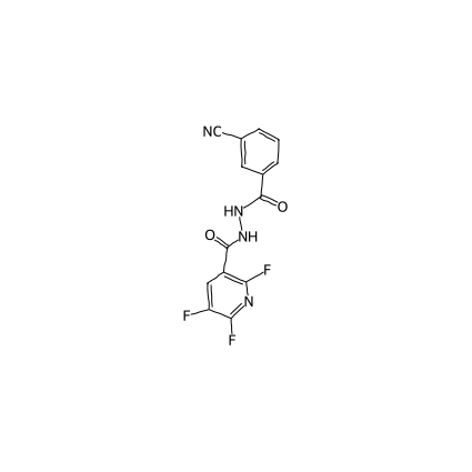 N#Cc1cccc(C(=O)NNC(=O)c2cc(F)c(F)nc2F)c1